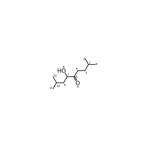 CC(C)CCC(=O)C(O)CC(C)C